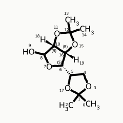 CC1(C)OCC([C@@H]2OC(O)[C@@H]3OC(C)(C)O[C@@H]32)O1